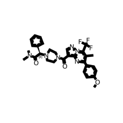 COc1ccc(-c2nc3c(C(=O)N4CCN([C@@H](C(=O)N(C)C)c5ccccc5)CC4)cnn3c(C(F)(F)F)c2C)cc1